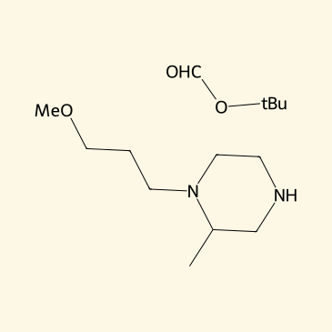 CC(C)(C)OC=O.COCCCN1CCNCC1C